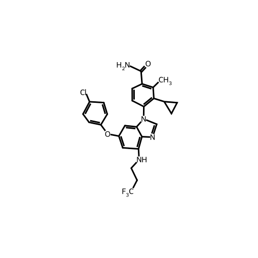 Cc1c(C(N)=O)ccc(-n2cnc3c(NCCC(F)(F)F)cc(Oc4ccc(Cl)cc4)cc32)c1C1CC1